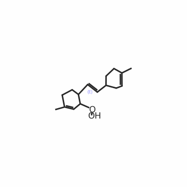 CC1=CCC(/C=C/C2CCC(C)=CC2OO)CC1